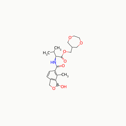 Cc1c(C(=O)N[C@H](C(=O)OCC2COCCOC2)C(C)C)ccc2c1B(O)OC2